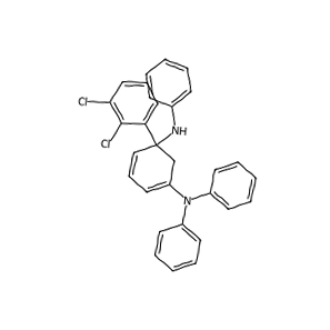 Clc1cccc(C2(Nc3ccccc3)C=CC=C(N(c3ccccc3)c3ccccc3)C2)c1Cl